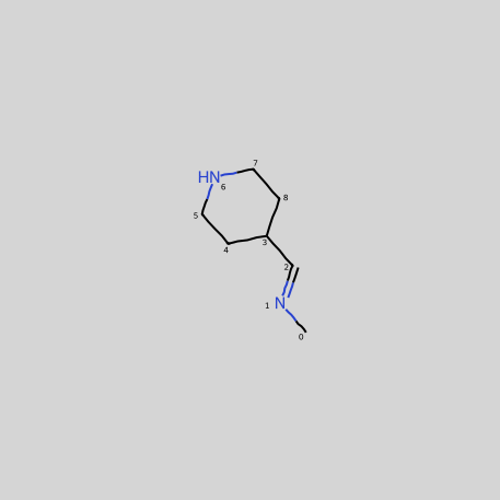 CN=CC1CCNCC1